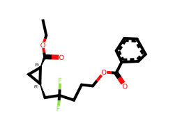 CCOC(=O)[C@@H]1C[C@@H]1CC(F)(F)CCCOC(=O)c1ccccc1